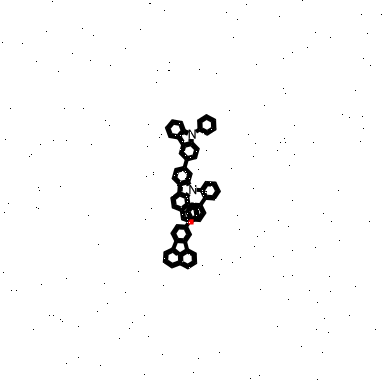 c1ccc(-n2c3ccccc3c3cc(-c4ccc5c6ccc7ccccc7c6n(-c6ccccc6-c6ccc(-c7ccc8c(c7)-c7cccc9cccc-8c79)cc6)c5c4)ccc32)cc1